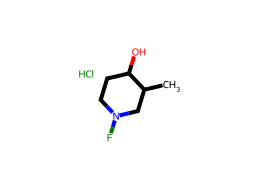 CC1CN(F)CCC1O.Cl